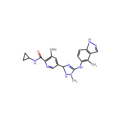 COc1cc(C2N=C(Nc3ccc4[nH]ncc4c3C)N(C)N2)cnc1C(=O)NC1CC1